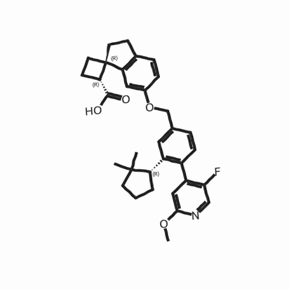 COc1cc(-c2ccc(COc3ccc4c(c3)[C@@]3(CC4)CC[C@H]3C(=O)O)cc2[C@@H]2CCCC2(C)C)c(F)cn1